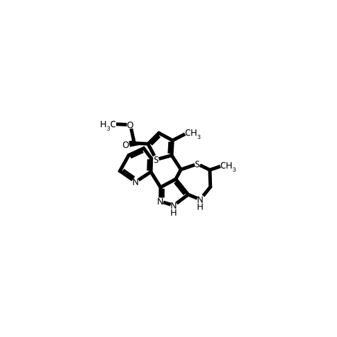 COC(=O)c1cc(C)c(C2SC(C)CNc3[nH]nc(-c4ccccn4)c32)s1